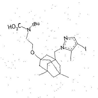 Cc1c(I)cnn1CC12CC3(C)CC(C)(C1)CC(OCCN(C(=O)O)C(C)(C)C)(C3)C2